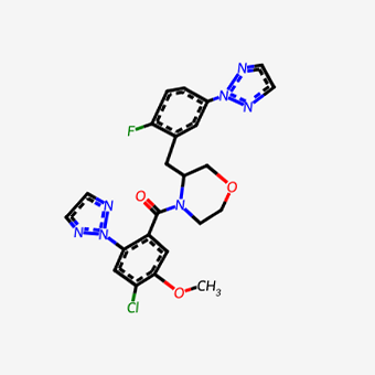 COc1cc(C(=O)N2CCOCC2Cc2cc(-n3nccn3)ccc2F)c(-n2nccn2)cc1Cl